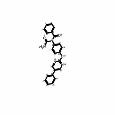 NC(=O)N(C(=O)c1ccccc1)c1ccc(Oc2ncc(-c3ccccc3)cn2)cc1